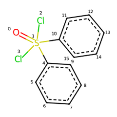 O=S(Cl)(Cl)(c1ccccc1)c1ccccc1